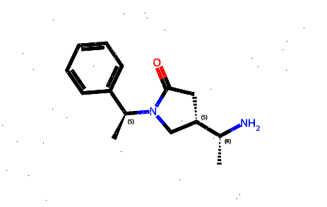 C[C@@H](N)[C@H]1CC(=O)N([C@@H](C)c2ccccc2)C1